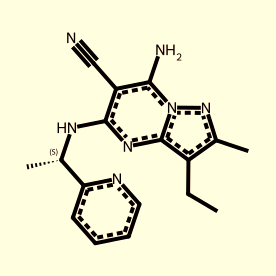 CCc1c(C)nn2c(N)c(C#N)c(N[C@@H](C)c3ccccn3)nc12